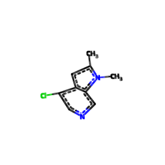 Cc1cc2c(Cl)cncc2n1C